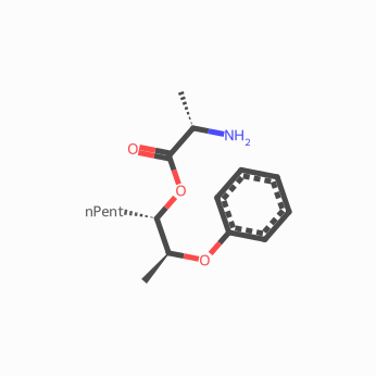 CCCCC[C@H](OC(=O)[C@H](C)N)[C@H](C)Oc1ccccc1